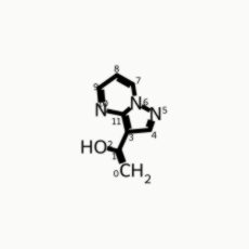 C=C(O)c1cnn2cccnc12